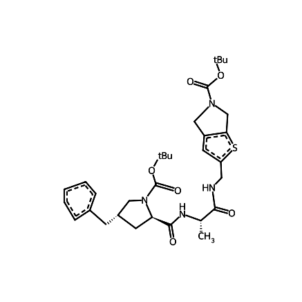 C[C@H](NC(=O)[C@H]1C[C@H](Cc2ccccc2)CN1C(=O)OC(C)(C)C)C(=O)NCc1cc2c(s1)CN(C(=O)OC(C)(C)C)C2